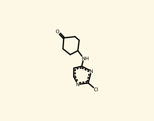 O=C1CCC(Nc2ccnc(Cl)n2)CC1